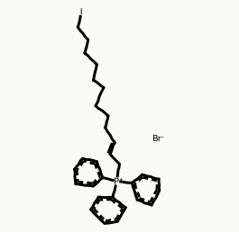 ICCCCCCCCCC=CC[P+](c1ccccc1)(c1ccccc1)c1ccccc1.[Br-]